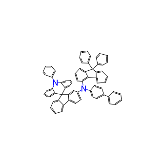 c1ccc(-c2ccc(N(c3ccc4c(c3)C3(c5ccccc5-4)c4ccccc4N(c4ccccc4)c4ccccc43)c3cccc4c3-c3ccccc3C4(c3ccccc3)c3ccccc3)cc2)cc1